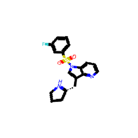 O=S(=O)(c1cccc(F)c1)n1cc(C[C@@H]2CCCN2)c2ncccc21